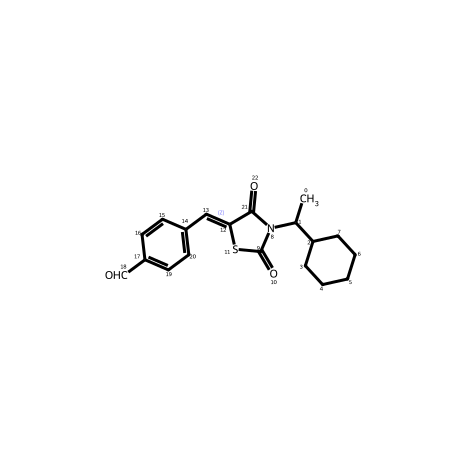 CC(C1CCCCC1)N1C(=O)S/C(=C\c2ccc(C=O)cc2)C1=O